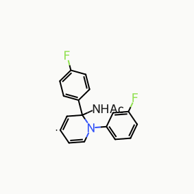 CC(=O)NC1(c2ccc(F)cc2)C=[C]C=CN1c1cccc(F)c1